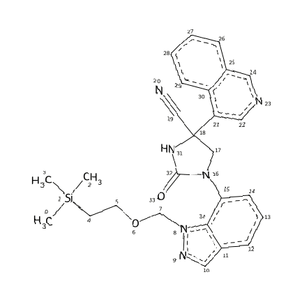 C[Si](C)(C)CCOCn1ncc2cccc(N3CC(C#N)(c4cncc5ccccc45)NC3=O)c21